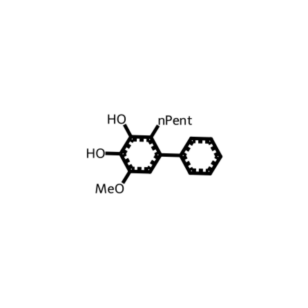 CCCCCc1c(-c2ccccc2)cc(OC)c(O)c1O